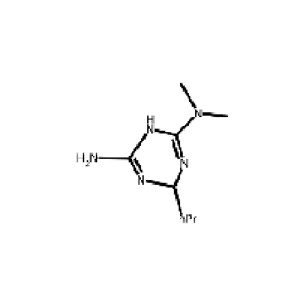 CCCC1N=C(N)NC(N(C)C)=N1